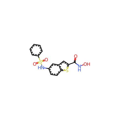 O=C(NO)c1cc2cc(NS(=O)(=O)c3ccccc3)ccc2s1